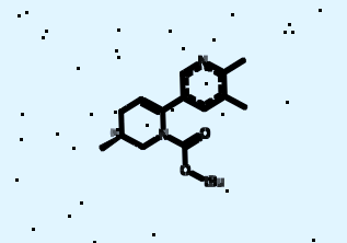 Cc1cc(C2=CC[C@H](C)CN2C(=O)OC(C)(C)C)cnc1C